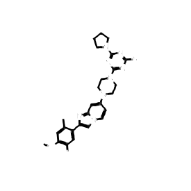 COc1cc(C)c(-c2cn3ccc(N4CCN(c5nc(N)nc(N6CCCC6)n5)CC4)cc3n2)cc1Cl